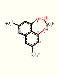 O=S(=O)(O)O.O=S(=O)(O)c1cc(O)c2c(O)cc(S(=O)(=O)O)cc2c1